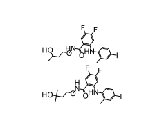 Cc1cc(I)ccc1Nc1cc(F)c(F)cc1C(=O)NOCCC(C)(C)O.Cc1cc(I)ccc1Nc1cc(F)c(F)cc1C(=O)NOCCC(C)O